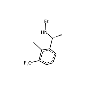 CCN[C@H](C)c1cccc(C(F)(F)F)c1C